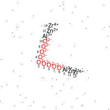 [Al+3].[Al+3].[O-2].[O-2].[O-2].[O-2].[O-2].[O-2].[O-2].[O-2].[O-2].[Zn+2].[Zn+2].[Zr+4].[Zr+4]